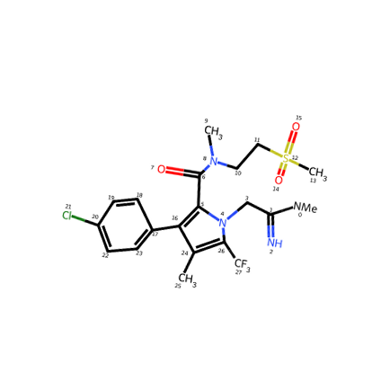 CNC(=N)Cn1c(C(=O)N(C)CCS(C)(=O)=O)c(-c2ccc(Cl)cc2)c(C)c1C(F)(F)F